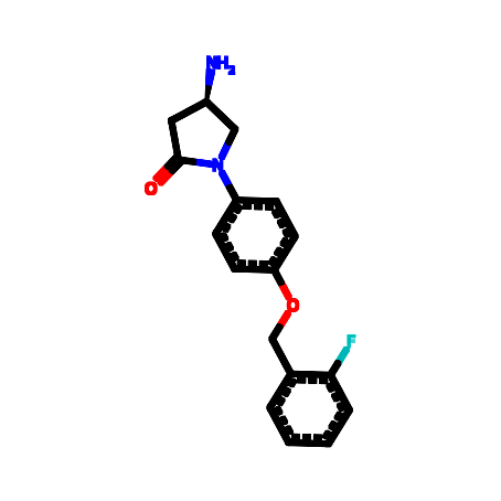 N[C@@H]1CC(=O)N(c2ccc(OCc3ccccc3F)cc2)C1